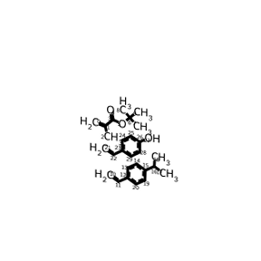 C=C(C)C(=O)OC(C)(C)C.C=Cc1ccc(C(C)C)cc1.C=Cc1ccc(O)cc1